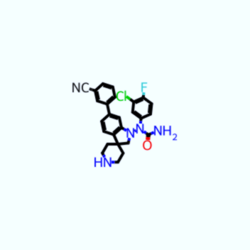 N#Cc1cccc(-c2ccc3c(c2)N(N(C(N)=O)c2ccc(F)c(Cl)c2)CC32CCNCC2)c1